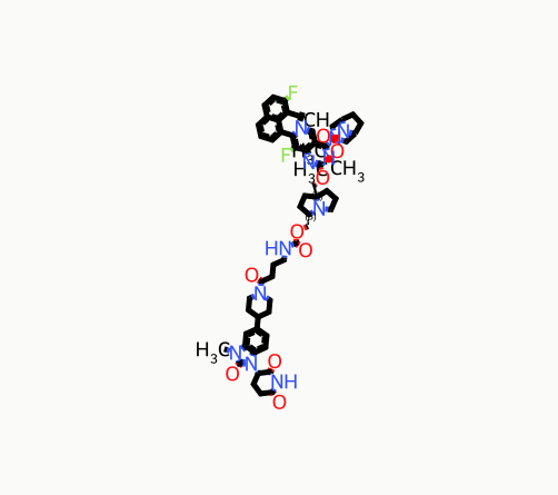 C#Cc1c(F)ccc2cccc(-c3ncc4c(N5CC6CCC(C5)N6C(=O)OC(C)(C)C)nc(OC[C@@]56CCCN5[C@H](COC(=O)NCCCC(=O)N5CCC(c7ccc8c(c7)n(C)c(=O)n8C7CCC(=O)NC7=O)CC5)CC6)nc4c3F)c12